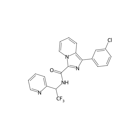 O=C(NC(c1ccccn1)C(F)(F)F)c1nc(-c2cccc(Cl)c2)c2ccccn12